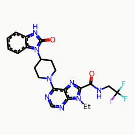 CCn1c(C(=O)NCC(F)(F)I)nc2c(N3CCC(n4c(=O)[nH]c5ccccc54)CC3)ncnc21